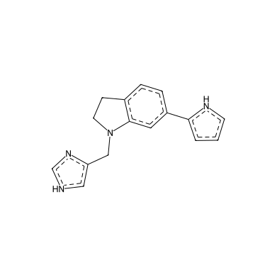 c1c[nH]c(-c2ccc3c(c2)N(Cc2c[nH]cn2)CC3)c1